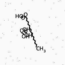 CCCCCCCCCCCCCCCCCC(=O)OO.OCCO.OCCO